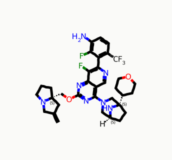 C=C1CN2CCC[C@@]2(COc2nc(N3C[C@@H]4CC[C@](C5CCOCC5)(C3)N4)c3cnc(-c4c(C(F)(F)F)ccc(N)c4F)c(F)c3n2)C1